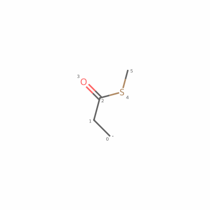 [CH2]CC(=O)SC